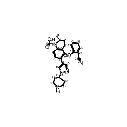 C[C@H]1CCc2c(ccc(-c3cnn(C4CCNCC4)c3)c2Oc2ccccc2C#N)N1C(=O)O